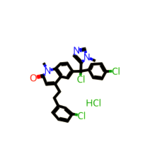 Cl.Cn1cncc1C(Cl)(c1ccc(Cl)cc1)c1ccc2c(c1)c(CCc1cccc(Cl)c1)cc(=O)n2C